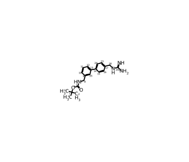 CC(C)(C)OC(=O)NCc1cccc(-c2ccc(CNC(=N)N)cc2)c1